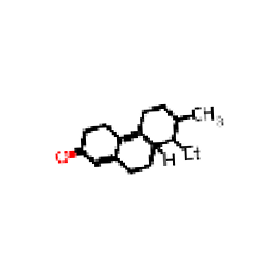 CCC1C(C)CCC2=C3CCC(=O)C=C3CC[C@H]21